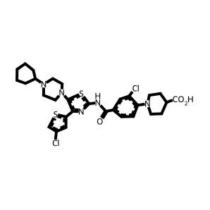 O=C(Nc1nc(-c2cc(Cl)cs2)c(N2CCN(C3CCCCC3)CC2)s1)c1ccc(N2CCC(C(=O)O)CC2)c(Cl)c1